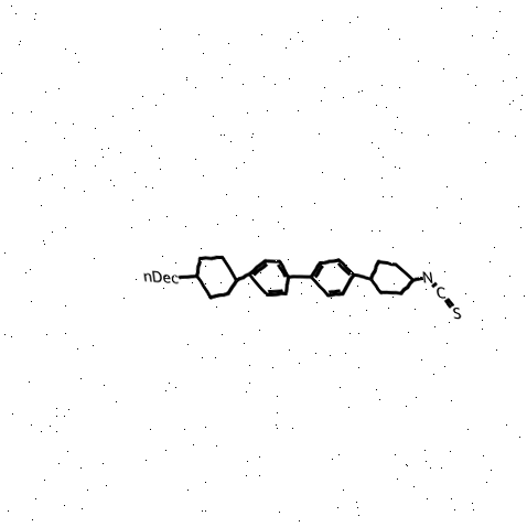 CCCCCCCCCCC1CCC(c2ccc(-c3ccc(C4CCC(N=C=S)CC4)cc3)cc2)CC1